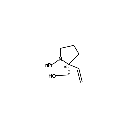 C=C[C@]1(CO)CCCN1CCC